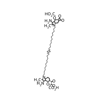 Cc1c(N)c2c3c(ccc2n1CCCCCCCCCCCCSSCCCCCCCCCCCCn1c(C)c(N)c2c(OCC(=O)O)c4c(=O)c(=O)c4cc21)C(=O)C(=O)C(C(=O)O)O3